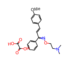 COc1ccc(C=CC(=NOCCN(C)C)c2ccccc2)cc1.O=C(O)C(=O)O